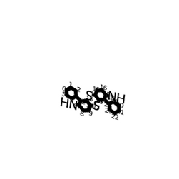 c1ccc2c(c1)[nH]c1ccc3c(c12)Sc1ccc2[nH]c4ccccc4c2c1S3